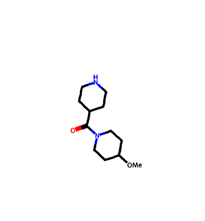 COC1CCN(C(=O)C2CCNCC2)CC1